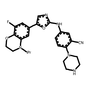 CC(C)N1CCOc2c(F)cc(-c3cnc(Nc4ccc(N5CCNCC5)c(C#N)c4)o3)cc21